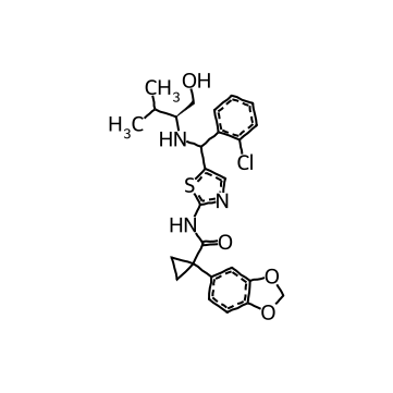 CC(C)[C@@H](CO)NC(c1cnc(NC(=O)C2(c3ccc4c(c3)OCO4)CC2)s1)c1ccccc1Cl